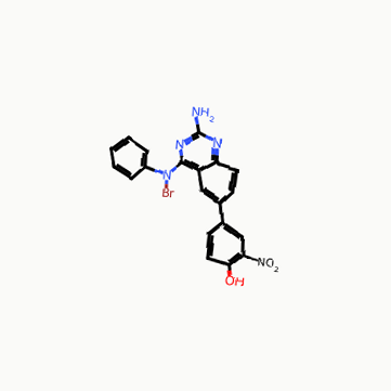 Nc1nc(N(Br)c2ccccc2)c2cc(-c3ccc(O)c([N+](=O)[O-])c3)ccc2n1